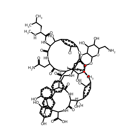 CN[C@@H](CC(C)C)C(=O)NC1C(=O)NC(CC(N)=O)C(=O)NC2C(=O)NC3C(=O)N[C@H](C(=O)NC(C(=O)O)c4cc(O)cc(O)c4-c4cc3ccc4O)[C@H](O)c3ccc(c(Cl)c3)Oc3cc2cc(c3OC2OC(CN)C(O)C(O)C2OC2CC(I)(NCc3ccc(-c4ccc(Cl)cc4)cc3)C(O)C(C)O2)Oc2ccc(cc2Cl)C1O